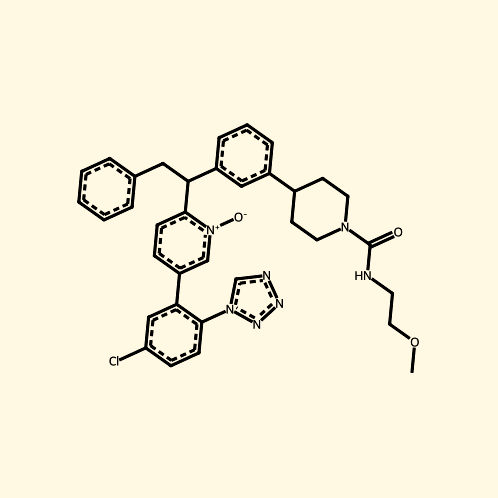 COCCNC(=O)N1CCC(c2cccc(C(Cc3ccccc3)c3ccc(-c4cc(Cl)ccc4-n4cnnn4)c[n+]3[O-])c2)CC1